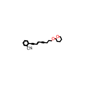 N#Cc1ccccc1C#CC=CC#CCCCOC1CCCCO1